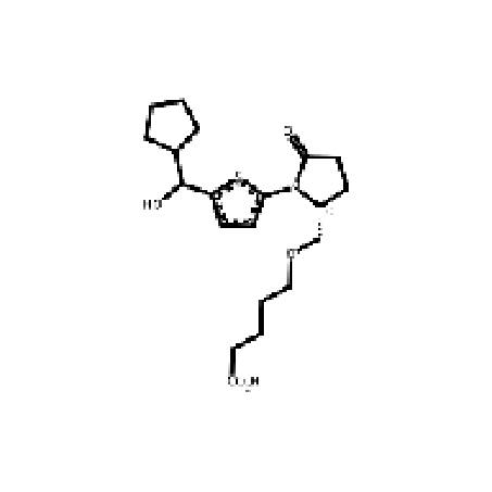 O=C(O)CCCCOC[C@H]1CCC(=O)N1c1ccc(C(O)C2CCCC2)s1